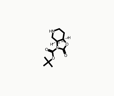 CC(C)(C)OC(=O)N1C(=O)O[C@@H]2CCNC[C@@H]21